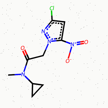 CN(C(=O)Cn1nc(Cl)cc1[N+](=O)[O-])C1CC1